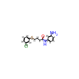 Nc1cccc(NC(=O)CCCSc2cccc(Cl)c2)c1